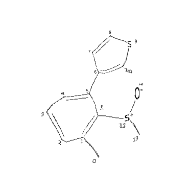 Cc1cccc(-c2ccsc2)c1[S+](C)[O-]